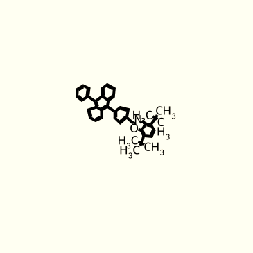 CC(C)(C)c1ccc(C(C)(C)C)c2oc(-c3ccc(-c4c5ccccc5c(-c5ccccc5)c5ccccc45)cc3)nc12